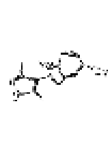 Cc1noc(C)c1-c1cc2cc(Cl)ccc2[nH]1